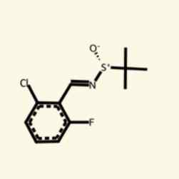 CC(C)(C)[S@@+]([O-])/N=C/c1c(F)cccc1Cl